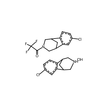 Cl.Clc1ccc2c(c1)C1CNCC2C1.O=C(N1CC2CC(C1)c1cc(Cl)ccc12)C(F)(F)F